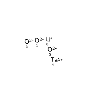 [Li+].[O-2].[O-2].[O-2].[Ta+5]